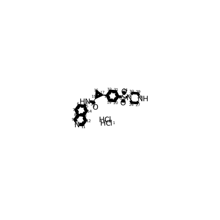 Cl.Cl.O=C(Nc1ccc2cnccc2c1)[C@@H]1C[C@H]1c1ccc(S(=O)(=O)N2CCNCC2)cc1